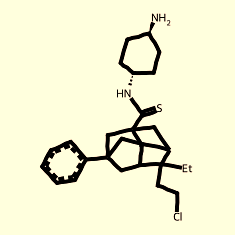 CCC1(CCCl)C2CC3(C(=S)N[C@H]4CC[C@H](N)CC4)CC1CC(c1ccccc1)(C2)C3